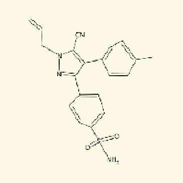 C=CCn1nc(-c2ccc(S(N)(=O)=O)cc2)c(-c2ccc(C)cc2)c1C#N